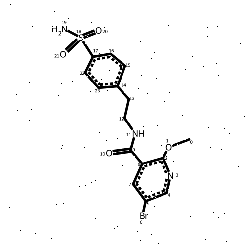 COc1ncc(Br)cc1C(=O)NCCc1ccc(S(N)(=O)=O)cc1